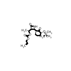 C=CCOC(=O)O[C@H](C)[C@H]1C(=O)N[C@@H]1[C@@H]1CCC[C@@H](O[Si](C)(C)C)C1=O